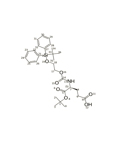 CC(C)(C)OC(=O)[C@H](CCC(=O)O)NC(=O)OCCO[Si](c1ccccc1)(c1ccccc1)C(C)(C)C